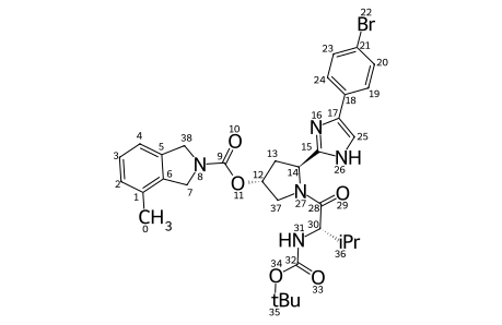 Cc1cccc2c1CN(C(=O)O[C@@H]1C[C@@H](c3nc(-c4ccc(Br)cc4)c[nH]3)N(C(=O)[C@@H](NC(=O)OC(C)(C)C)C(C)C)C1)C2